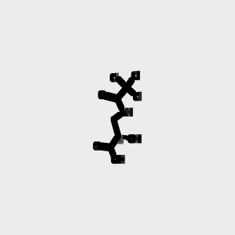 O=C(O)[C@@H](O)CNC(=O)C(Cl)(Cl)Cl